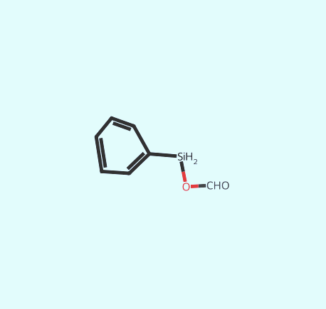 O=CO[SiH2]c1ccccc1